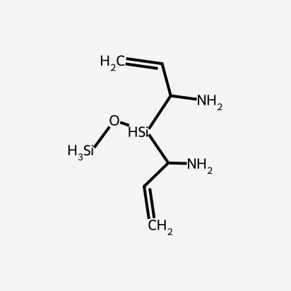 C=CC(N)[SiH](O[SiH3])C(N)C=C